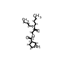 CCCCN(CCCC)C(=O)COC(=O)C1CCNC1